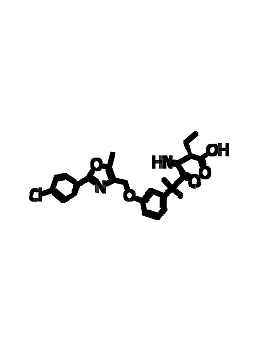 CC[C@H](C(=N)C(=O)C(C)(C)c1cccc(OCc2nc(-c3ccc(Cl)cc3)oc2C)c1)C(=O)O